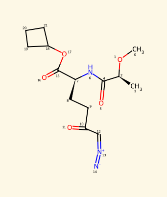 CO[C@@H](C)C(=O)N[C@@H](CCC(=O)C=[N+]=[N-])C(=O)OC1CCC1